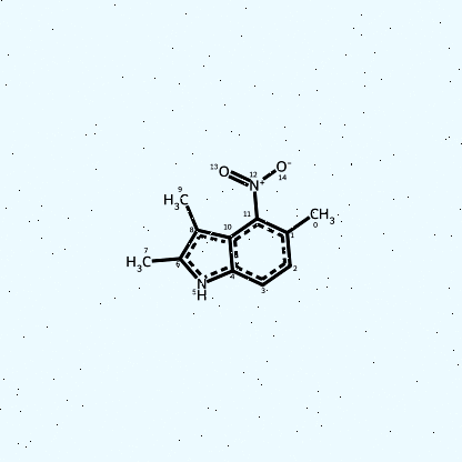 Cc1ccc2[nH]c(C)c(C)c2c1[N+](=O)[O-]